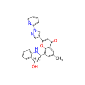 Cc1cc(C(C)Nc2ccccc2CO)c2oc(-c3cnn(-c4ccccn4)c3)cc(=O)c2c1